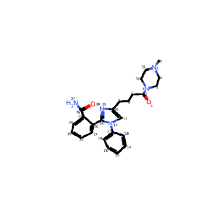 CN1CCN(C(=O)CCCc2cn(-c3ccccc3)c(-c3ccccc3C(N)=O)n2)CC1